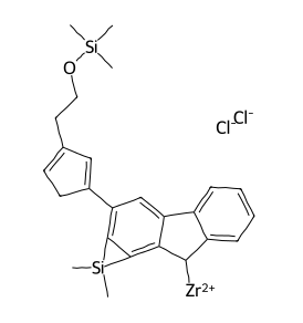 C[Si](C)(C)OCCC1=CCC(c2cc3c(c4c2[Si]4(C)C)[CH]([Zr+2])c2ccccc2-3)=C1.[Cl-].[Cl-]